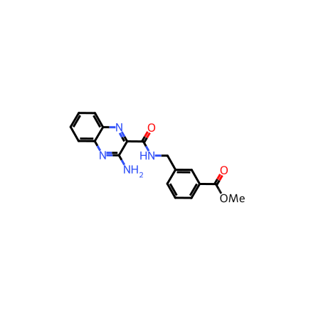 COC(=O)c1cccc(CNC(=O)c2nc3ccccc3nc2N)c1